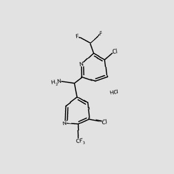 Cl.NC(c1cnc(C(F)(F)F)c(Cl)c1)c1ccc(Cl)c(C(F)F)n1